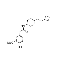 COc1cc(CC(=O)NC2CCC(CCC3CCC3)CC2)ccc1O